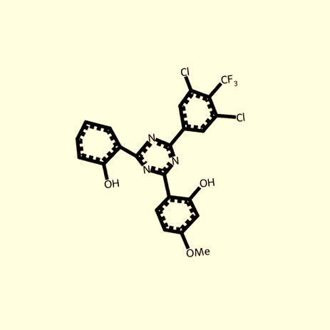 COc1ccc(-c2nc(-c3cc(Cl)c(C(F)(F)F)c(Cl)c3)nc(-c3ccccc3O)n2)c(O)c1